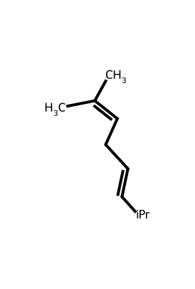 CC(C)=CCC=CC(C)C